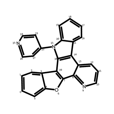 c1ccc2c(c1)oc1c3ncccc3c3c4ccccc4n(-c4ccncc4)c3c21